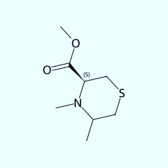 COC(=O)[C@H]1CSCC(C)N1C